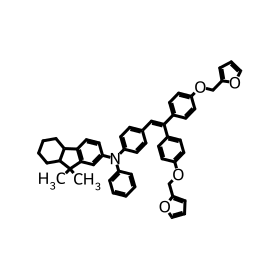 CC1(C)c2cc(N(c3ccccc3)c3ccc(C=C(c4ccc(OCc5ccco5)cc4)c4ccc(OCc5ccco5)cc4)cc3)ccc2C2CCCCC21